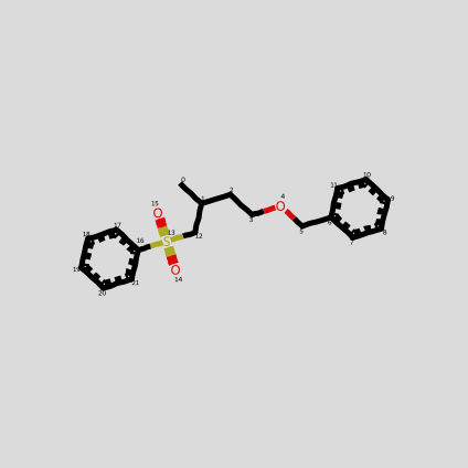 CC(CCOCc1ccccc1)CS(=O)(=O)c1ccccc1